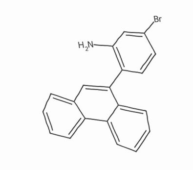 Nc1cc(Br)ccc1-c1cc2ccccc2c2ccccc12